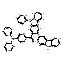 c1ccc(N(c2ccccc2)c2ccc(-c3cc4cc5oc6ccccc6c5cc4c4cc5c6ccccc6n(-c6ccccc6)c5cc34)cc2)cc1